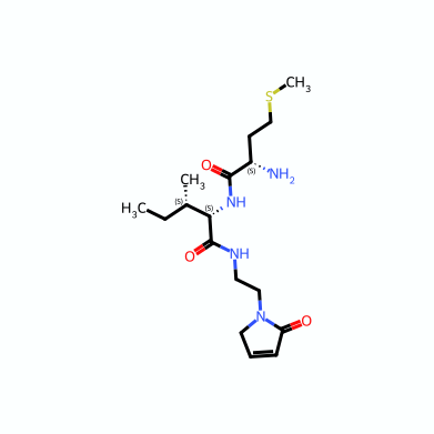 CC[C@H](C)[C@H](NC(=O)[C@@H](N)CCSC)C(=O)NCCN1CC=CC1=O